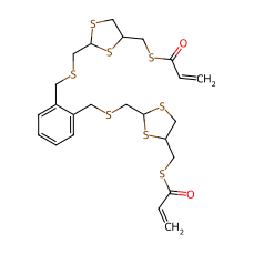 C=CC(=O)SCC1CSC(CSCc2ccccc2CSCC2SCC(CSC(=O)C=C)S2)S1